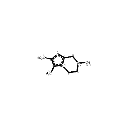 Cc1c(C(=O)O)nc2n1CCN(C)C2